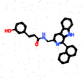 O=C(/C=C/c1cccc(O)c1)NCc1cc2c([nH]c3ccccc32)c(-c2cccc3ccccc23)n1